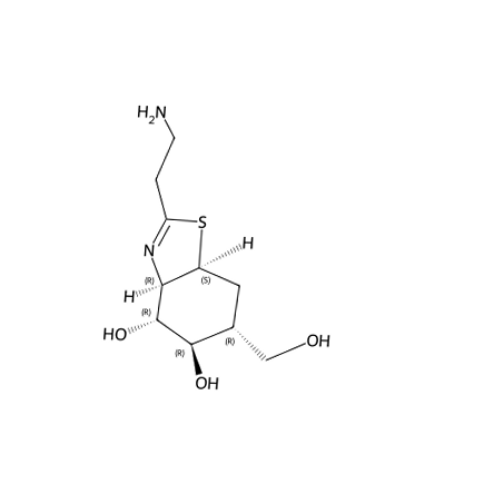 NCCC1=N[C@@H]2[C@@H](O)[C@H](O)[C@@H](CO)C[C@@H]2S1